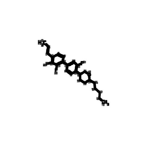 C/C=C/c1ccc(-c2ccc(C3CCC(CCCCC)OC3)c(F)c2)c(F)c1F